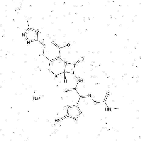 CNC(=O)ON=C(C(=O)NC1C(=O)N2C(C(=O)[O-])=C(CSc3nnc(C)s3)CS[C@@H]12)c1csc(=N)[nH]1.[Na+]